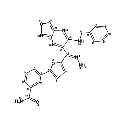 NN=C(c1ccc(-c2cccc(C(N)=O)c2)o1)c1nc2nonc2nc1NCc1ccccc1